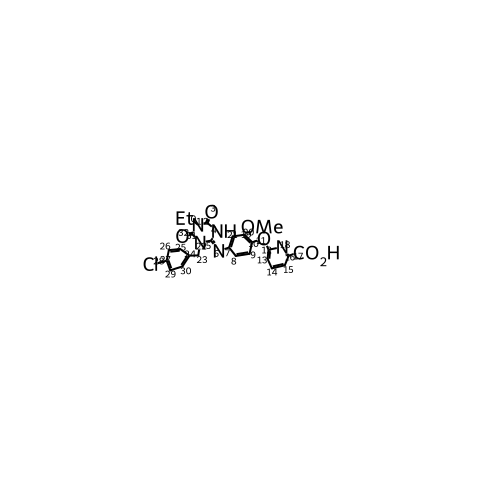 CCn1c(=O)[nH]/c(=N\c2ccc(Oc3cccc(C(=O)O)n3)c(OC)c2)n(Cc2ccc(Cl)cc2)c1=O